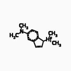 CN(C)c1ccc2c(c1)C=C[CH]2[Hf]([CH3])[CH3]